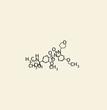 CCOc1ccc2c(c1)n(C1CCOCC1)c(=O)n2S(=O)(=O)c1ccc(C(=O)NC(C)(C)CC)cc1OC